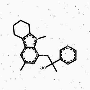 Cc1cc(CC(C)(O)c2cccnc2)c2c(c1)c1c(n2C)CCCC1